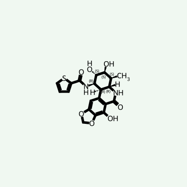 C[C@@H]1[C@H](O)[C@@H](O)[C@H](NC(=O)c2cccs2)[C@@H]2c3cc4c(c(O)c3C(=O)N[C@@H]12)OCO4